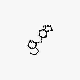 c1nc2c(c(Oc3ccc4[nH]ccc4c3)n1)CCC2